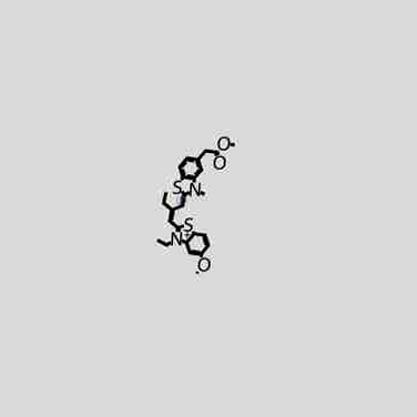 CCC(=CC1=[N+](CC)C2C=C(OC)C=CC2S1)/C=C1\Sc2ccc(CC(=O)OC)cc2N1C